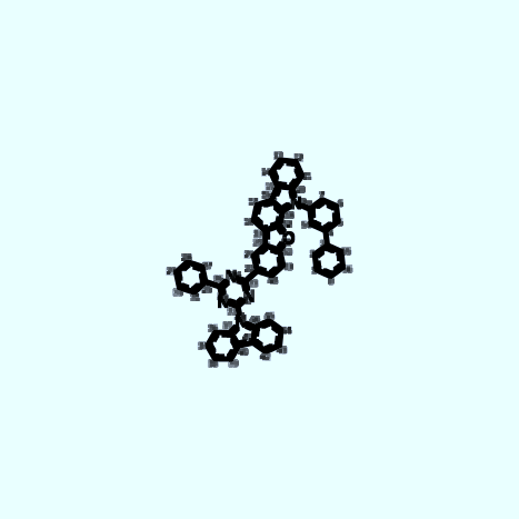 c1ccc(-c2cccc(-n3c4ccccc4c4ccc5c6cc(-c7nc(-c8ccccc8)nc(-n8c9ccccc9c9ccccc98)n7)ccc6oc5c43)c2)cc1